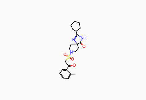 Cc1ccccc1C(=O)CS(=O)(=O)N1CCC2(CC1)N=C(C1CCCCC1)NC2=O